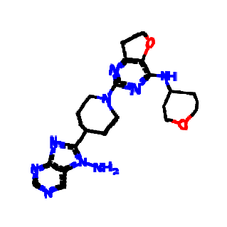 Nn1c(C2CCN(c3nc4c(c(NC5CCOCC5)n3)OCC4)CC2)nc2ncncc21